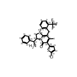 Cc1c(Cc2c(F)cccc2C(F)(F)F)c2n(c(=O)c1-c1ccc(Cl)s1)C(C(N)c1ccccc1)CS2